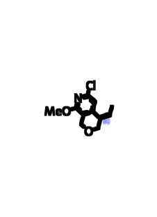 C/C=C1/COCc2c1cc(Cl)nc2OC